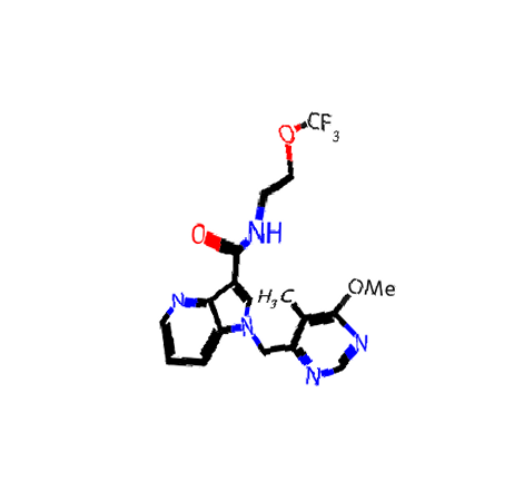 COc1ncnc(Cn2cc(C(=O)NCCOC(F)(F)F)c3ncccc32)c1C